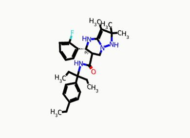 CCc1ccc(C(CC)(CC)NC(=O)C2CN3NC(C)(C)C(C)=C3N[C@H]2c2ccccc2F)cc1